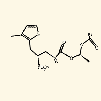 CCC(=O)O[C@@H](C)OC(=O)NC[C@H](Cc1sccc1C)C(=O)O